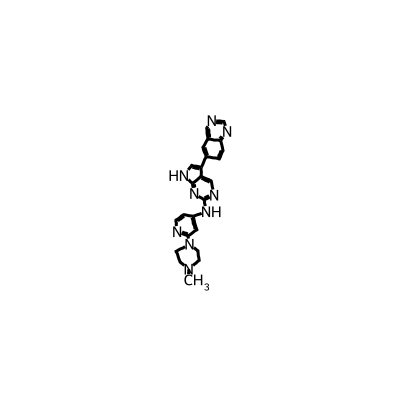 CN1CCN(c2cc(Nc3ncc4c(-c5ccc6ncncc6c5)c[nH]c4n3)ccn2)CC1